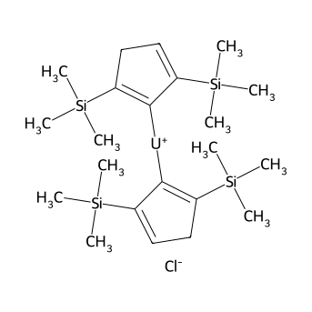 C[Si](C)(C)C1=CCC([Si](C)(C)C)=[C]1[U+][C]1=C([Si](C)(C)C)CC=C1[Si](C)(C)C.[Cl-]